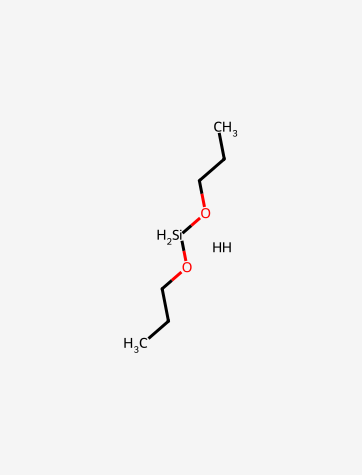 CCCO[SiH2]OCCC.[HH]